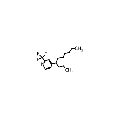 CCCCCCC(CCC)c1ccnc(C(F)(F)F)c1